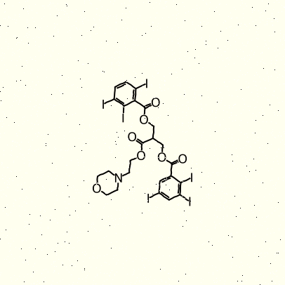 O=C(OCC(COC(=O)c1c(I)ccc(I)c1I)C(=O)OCCN1CCOCC1)c1cc(I)cc(I)c1I